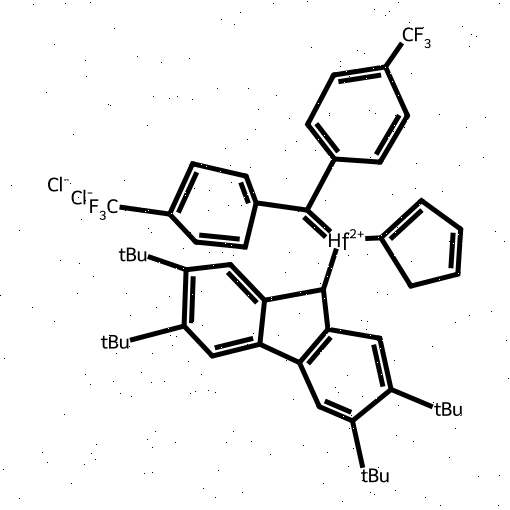 CC(C)(C)c1cc2c(cc1C(C)(C)C)[CH]([Hf+2]([C]1=CC=CC1)=[C](c1ccc(C(F)(F)F)cc1)c1ccc(C(F)(F)F)cc1)c1cc(C(C)(C)C)c(C(C)(C)C)cc1-2.[Cl-].[Cl-]